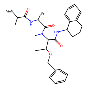 CNC(C)C(=O)NC(C(=O)N(C)C(C(=O)NC1CCCc2ccccc21)C(C)OCc1ccccc1)C(C)C